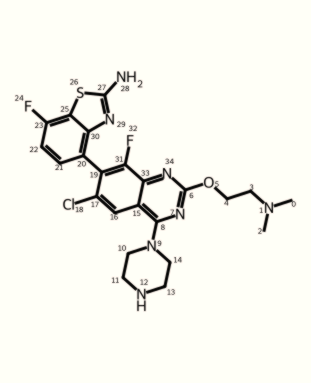 CN(C)CCOc1nc(N2CCNCC2)c2cc(Cl)c(-c3ccc(F)c4sc(N)nc34)c(F)c2n1